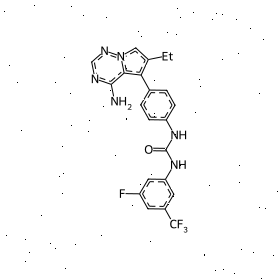 [CH2]Cc1cn2ncnc(N)c2c1-c1ccc(NC(=O)Nc2cc(F)cc(C(F)(F)F)c2)cc1